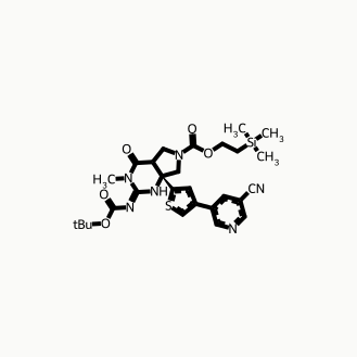 CN1C(=O)C2CN(C(=O)OCC[Si](C)(C)C)C[C@]2(c2cc(-c3cncc(C#N)c3)cs2)N/C1=N/C(=O)OC(C)(C)C